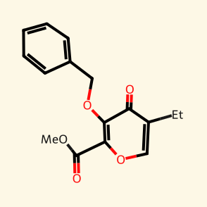 CCc1coc(C(=O)OC)c(OCc2ccccc2)c1=O